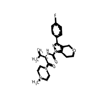 C=C(C)[C@H](NC(=O)n1nc(-c2ccc(F)cc2)c2c1CCOC2)C(=O)N1CCN(C)CC1